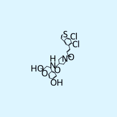 O=C(O)CC(NC(=O)C1CCN(C(=O)C=Cc2cc3ccsc3c(Cl)c2Cl)CC1)c1ccc(O)cc1